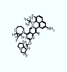 [2H]C([2H])([2H])Oc1c(F)ccc2cc(N)cc(-c3ncc4c(N5CCCO[C@H]6[C@H](F)[C@H]65)nc(OC([2H])([2H])[C@@]56CCCN5C[C@H](F)C6)nc4c3F)c12